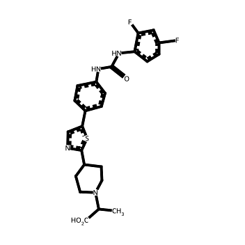 CC(C(=O)O)N1CCC(c2ncc(-c3ccc(NC(=O)Nc4ccc(F)cc4F)cc3)s2)CC1